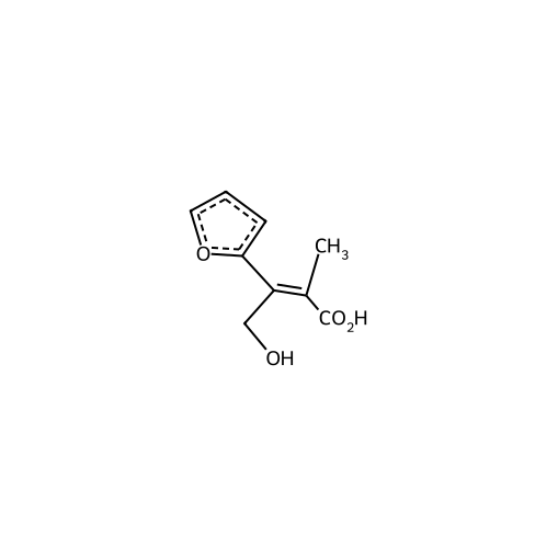 CC(C(=O)O)=C(CO)c1ccco1